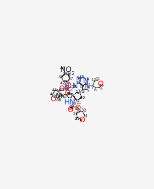 COc1cc(-c2cn(C3CCOCC3)c3ncnc(N)c23)ccc1NC(=O)OC1CCOCC1.O=C(Oc1ccc([N+](=O)[O-])cc1)OC1CCOCC1